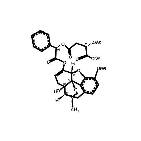 COc1ccc2c3c1O[C@H]1C(OC(=O)[C@@H](OC(=O)C[C@H](OC(C)=O)C(=O)OCC(C)C)c4ccccc4)=CC[C@@]4(O)[C@@H](C2)N(C)CC[C@]314